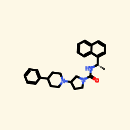 C[C@H](NC(=O)N1CCC(N2CCC(c3ccccc3)CC2)C1)c1cccc2ccccc12